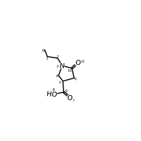 [CH2]CCN1CC(C(=O)O)CC1=O